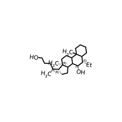 CC[C@H]1C2CCCCC2(C)C2CC[C@@]3(C)C(CC[C@@H]3[C@H](C)CCCO)C2[C@H]1O